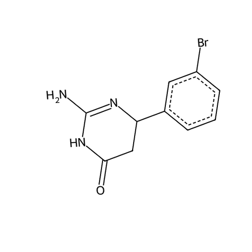 NC1=NC(c2cccc(Br)c2)CC(=O)N1